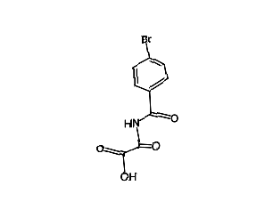 O=C(O)C(=O)NC(=O)c1ccc(Br)cc1